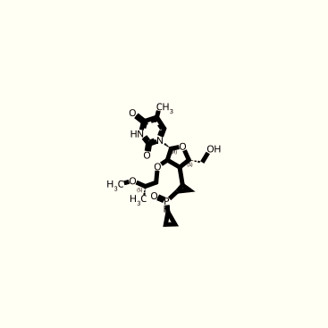 CO[C@@H](C)COC1C(C2CC2[PH](=O)C2CC2)[C@@H](CO)O[C@H]1n1cc(C)c(=O)[nH]c1=O